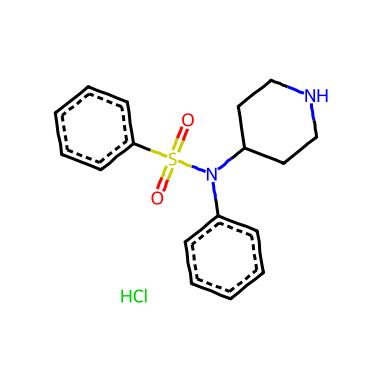 Cl.O=S(=O)(c1ccccc1)N(c1ccccc1)C1CCNCC1